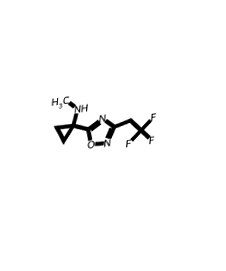 CNC1(c2nc(CC(F)(F)F)no2)CC1